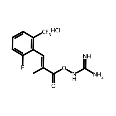 C/C(=C\c1c(F)cccc1C(F)(F)F)C(=O)ONC(=N)N.Cl